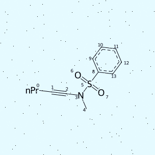 CCCC#CN(C)S(=O)(=O)c1ccccc1